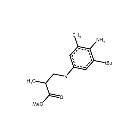 COC(=O)C(C)CSc1cc(C)c(N)c(C(C)(C)C)c1